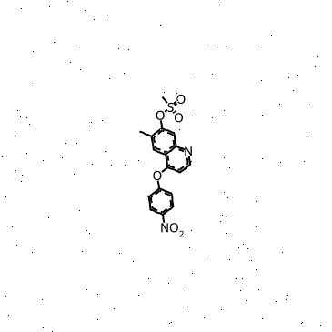 Cc1cc2c(Oc3ccc([N+](=O)[O-])cc3)ccnc2cc1OS(C)(=O)=O